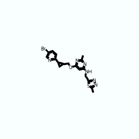 Cc1nc(NCc2nnc(C)s2)cc(OCC2CC2c2ccc(Br)cn2)n1